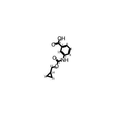 O=C(Nc1cccc(C(=O)O)c1)OCC1CC1